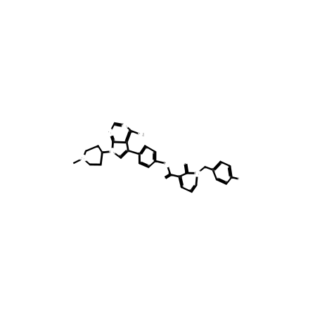 CN1CCC(n2cc(-c3ccc(NC(=O)c4cccn(Cc5ccc(F)cc5)c4=O)cc3)c3c(N)ncnc32)CC1